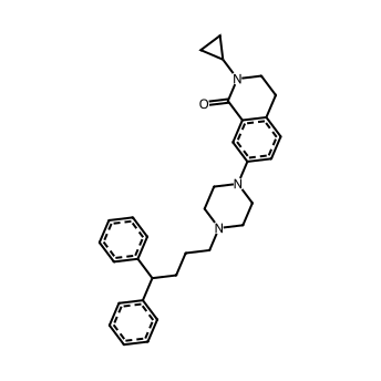 O=C1c2cc(N3CCN(CCCC(c4ccccc4)c4ccccc4)CC3)ccc2CCN1C1CC1